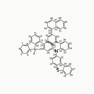 CC1(C)c2ccccc2-c2cccc(-c3ccc(N(c4ccc5sc6ccccc6c5c4)c4ccccc4-c4cccc(-c5cccc6ccccc56)c4)cc3)c21